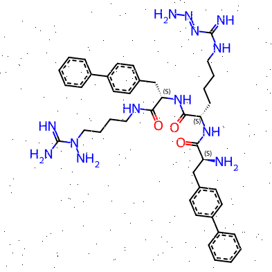 N=C(N=NN)NCCCC[C@H](NC(=O)[C@@H](N)Cc1ccc(-c2ccccc2)cc1)C(=O)N[C@@H](Cc1ccc(-c2ccccc2)cc1)C(=O)NCCCCN(N)C(=N)N